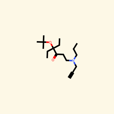 C#CCN(CCC)CCC(=O)C(CC)(CC)OC(C)(C)C